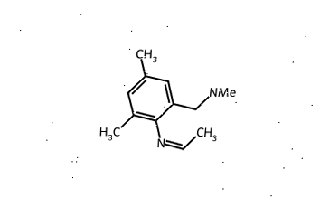 C/C=N\c1c(C)cc(C)cc1CNC